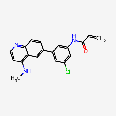 C=CC(=O)Nc1cc(Cl)cc(-c2ccc3nccc(NC)c3c2)c1